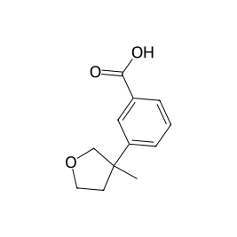 CC1(c2cccc(C(=O)O)c2)CCOC1